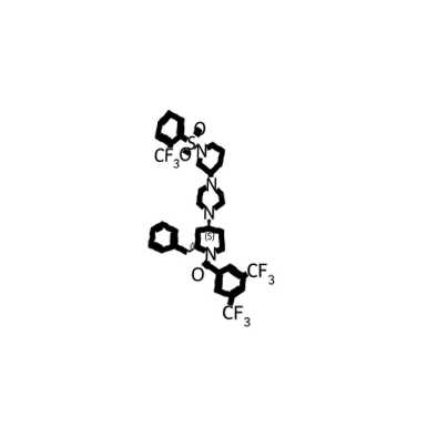 O=C(c1cc(C(F)(F)F)cc(C(F)(F)F)c1)N1CC[C@H](N2CCN(C3CCCN(S(=O)(=O)c4ccccc4C(F)(F)F)C3)CC2)C[C@H]1Cc1ccccc1